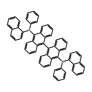 c1ccc(N(c2cccc3ccccc23)c2c3ccccc3c(-c3c4ccccc4c(N(c4ccccc4)c4cccc5ccccc45)c4ccccc34)c3ccccc23)cc1